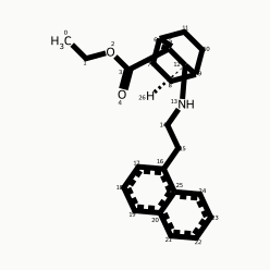 CCOC(=O)C1=C2CCC(CC2)[C@H]1NCCc1cccc2ccccc12